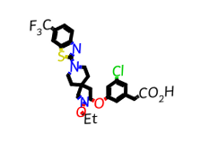 CCO/N=C/C1(CCOc2cc(Cl)cc(CC(=O)O)c2)CCN(c2nc3ccc(C(F)(F)F)cc3s2)CC1